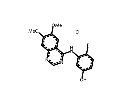 COc1cc2ncnc(Nc3cc(O)ccc3F)c2cc1OC.Cl